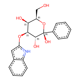 OC[C@H]1O[C@](O)(c2ccccc2)[C@H](O)[C@@H](Oc2cc3ccccc3[nH]2)[C@H]1O